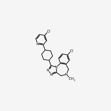 CN1Cc2cc(Cl)ccc2-n2c(nnc2C2CCC(c3cc(Cl)ccn3)CC2)C1